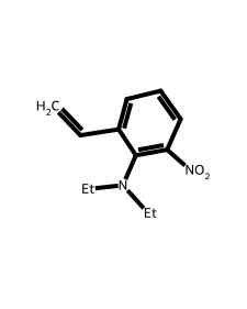 C=Cc1cccc([N+](=O)[O-])c1N(CC)CC